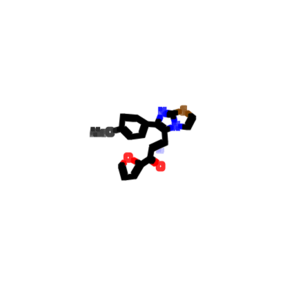 COc1ccc(-c2nc3sccn3c2/C=C/C(=O)c2ccco2)cc1